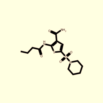 CCCC(=O)Nc1sc(S(=O)(=O)N2CCCCC2)cc1C(N)=O